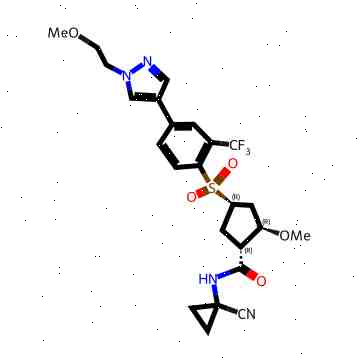 COCCn1cc(-c2ccc(S(=O)(=O)[C@H]3C[C@@H](OC)[C@H](C(=O)NC4(C#N)CC4)C3)c(C(F)(F)F)c2)cn1